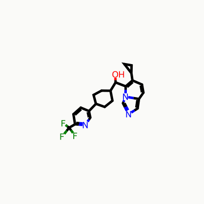 OC(c1c(C2CC2)ccc2cncn12)C1CCC(c2ccc(C(F)(F)F)nc2)CC1